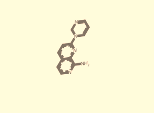 Nc1nccc2ccc(N3C=CC=NC3)nc12